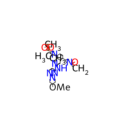 C=CC(=O)N1CC(c2ccc(N3C[C@H](CS(C)(=O)=O)C3(C)C)c3cnc(Nc4ccnc(N5CCC(OC)CC5)n4)cc23)C1